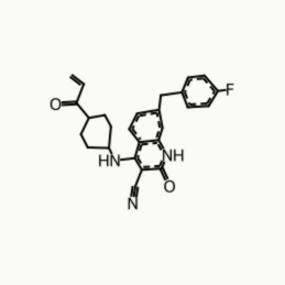 C=CC(=O)C1CCC(Nc2c(C#N)c(=O)[nH]c3cc(Cc4ccc(F)cc4)ccc23)CC1